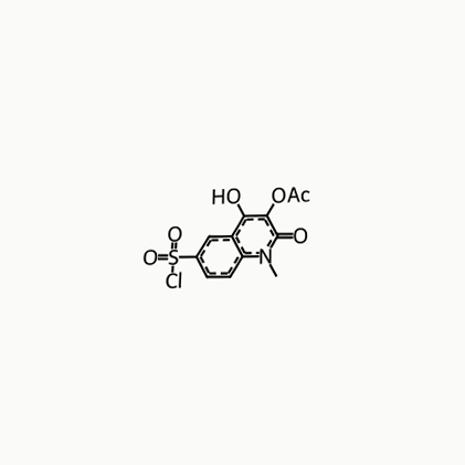 CC(=O)Oc1c(O)c2cc(S(=O)(=O)Cl)ccc2n(C)c1=O